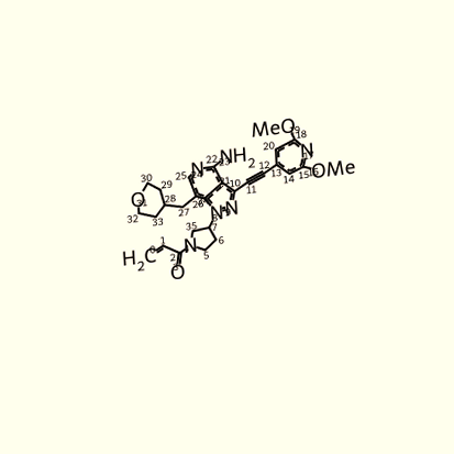 C=CC(=O)N1CCC(n2nc(C#Cc3cc(OC)nc(OC)c3)c3c(N)ncc(CC4CCOCC4)c32)C1